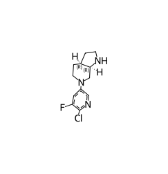 Fc1cc(N2CC[C@H]3CCN[C@H]3C2)cnc1Cl